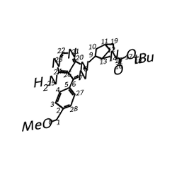 COCc1ccc(-c2nn(C3CC4CC3N(C(=O)OC(C)(C)C)C4)c3ncnc(N)c23)cc1